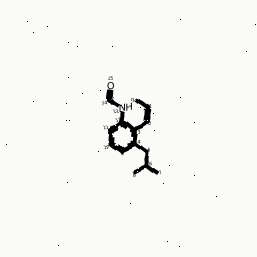 C/C=C\c1c(CC(C)C)cccc1NC=O